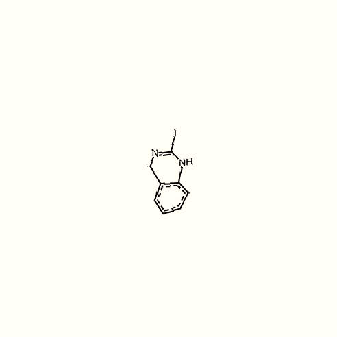 IC1=N[CH]c2ccccc2N1